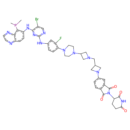 CP(C)c1c(Nc2nc(Nc3ccc(N4CCN(C5CN(CC6CN(c7ccc8c(c7)C(=O)N(C7CCC(=O)NC7=O)C8=O)C6)C5)CC4)c(F)c3)ncc2Br)ccc2nccnc12